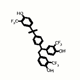 CC(C)(c1ccc(C(Cc2ccc(O)c(C(F)(F)F)c2)c2ccc(O)c(C(F)(F)F)c2)cc1)c1ccc(O)c(C(F)(F)F)c1